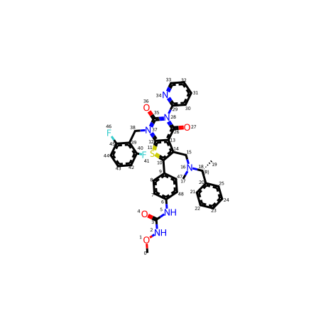 CONC(=O)Nc1ccc(-c2sc3c(c2CN(C)[C@H](C)c2ccccc2)c(=O)n(-c2ccccn2)c(=O)n3Cc2c(F)cccc2F)cc1